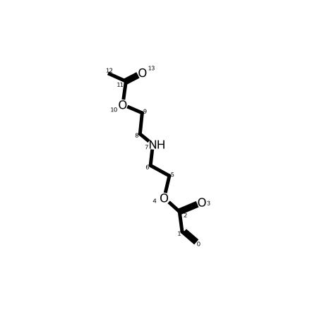 C=CC(=O)OCCNCCOC(C)=O